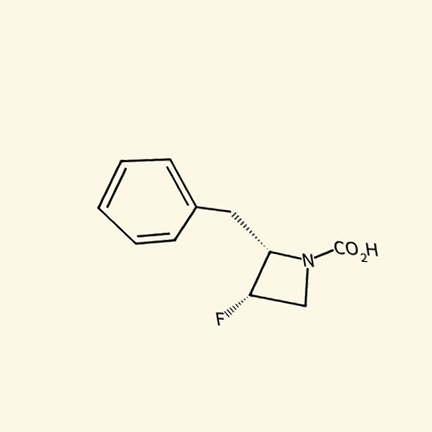 O=C(O)N1C[C@H](F)[C@@H]1Cc1ccccc1